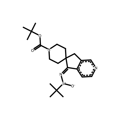 CC(C)(C)OC(=O)N1CCC2(CC1)Cc1cnccc1/C2=N\[S+]([O-])C(C)(C)C